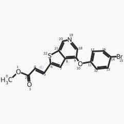 COC(=O)/C=C/c1cc2c(Oc3ccc(Br)cc3)cncc2s1